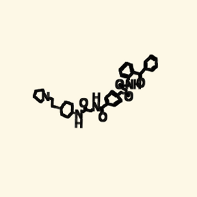 O=C(CNC(=O)c1ccc(S(=O)(=O)Nc2ccccc2C(=O)c2ccccc2)cc1)N[C@H]1CC[C@H](CCN2CCCC2)CC1